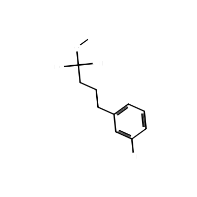 CC(C)(CCCc1cccc(C(F)(F)F)c1)O[SiH3]